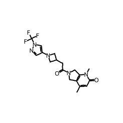 Cc1cc(=O)n(C)c2c1CN(C(=O)CC1CN(c3cnn(C(F)(F)F)c3)C1)C2